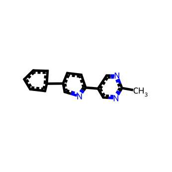 Cc1ncc(-c2ccc(-c3ccccc3)cn2)cn1